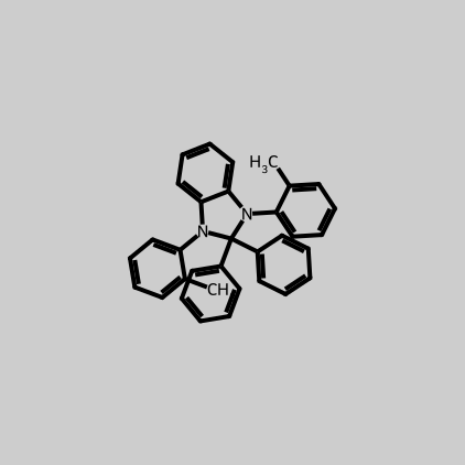 Cc1ccccc1N1c2ccccc2N(c2ccccc2C)C1(c1ccccc1)c1ccccc1